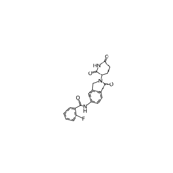 O=C1CCC(N2Cc3cc(NC(=O)c4ccccc4F)ccc3C2=O)C(=O)N1